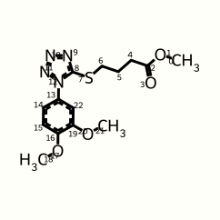 COC(=O)CCCSc1nnnn1-c1ccc(OC)c(OC)c1